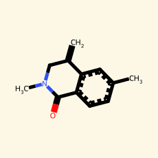 C=C1CN(C)C(=O)c2ccc(C)cc21